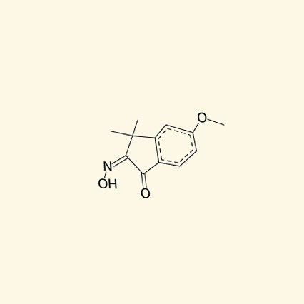 COc1ccc2c(c1)C(C)(C)C(=NO)C2=O